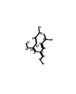 CCC=C(C=CC(C)C)C=C(CC)CCCC